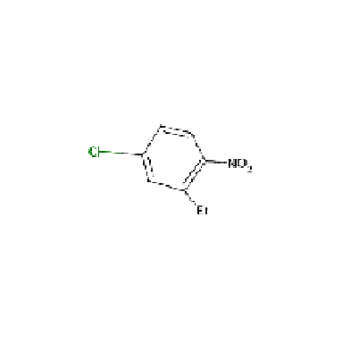 CCc1cc(Cl)ccc1[N+](=O)[O-]